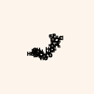 BC(B)(O)C(O)(O)Sc1ccc(C(CO)NC(=O)c2ccc3c(c2)cc(Cc2ccc(Cl)cc2C(F)(F)F)n3C2CC2)cc1